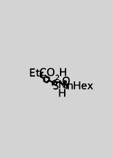 CCCCCCC(C)C(=O)NCc1cc(-c2ccc(C=C(CC)C(=O)O)cc2)cs1